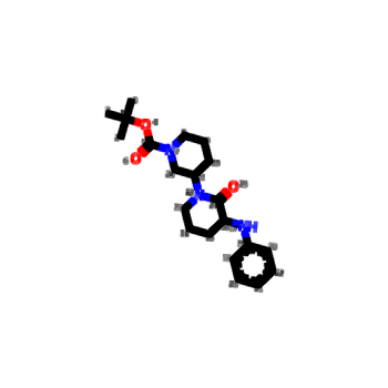 CC(C)(C)OC(=O)N1CCCC(N2CCCC(Nc3ccccc3)C2=O)C1